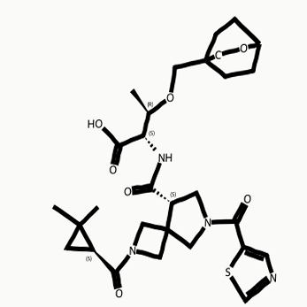 C[C@@H](OCC12CCC(CC1)OC2)[C@H](NC(=O)[C@@H]1CN(C(=O)c2cncs2)CC12CN(C(=O)[C@H]1CC1(C)C)C2)C(=O)O